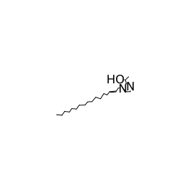 CCCCCCCCCCCCCCC=CCN1CCN=C1C(C)O